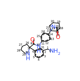 NCc1cccc(C2(C(=O)Nc3ccc(N4C(=O)C5CCC4CC5)cc3)CCCCN2)c1